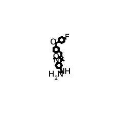 CN1c2ccc(NN)cc2C(C)(C)C12C=Cc1cc(C(=O)c3ccc(F)cc3)ccc1O2